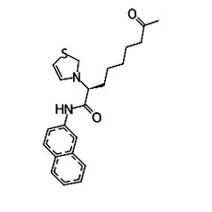 CC(=O)CCCCC[C@@H](C(=O)Nc1ccc2ccccc2c1)N1C=CSC1